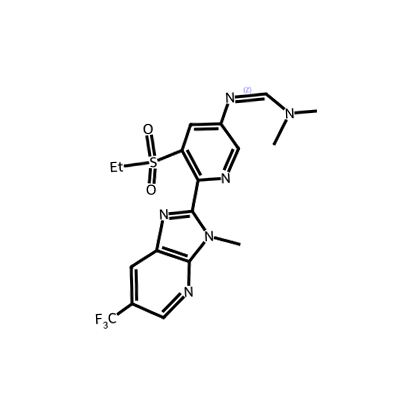 CCS(=O)(=O)c1cc(/N=C\N(C)C)cnc1-c1nc2cc(C(F)(F)F)cnc2n1C